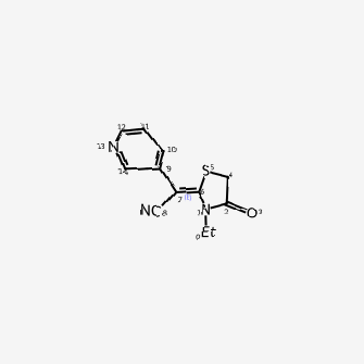 CCN1C(=O)CS/C1=C(/C#N)c1cccnc1